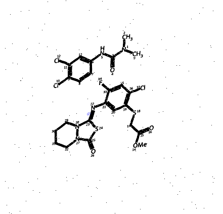 CN(C)C(=O)Nc1ccc(Cl)c(Cl)c1.COC(=O)CSc1cc(/N=c2\sc(=O)n3n2CCCC3)c(F)cc1Cl